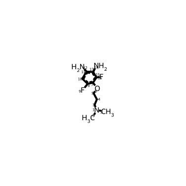 CN(C)CCCOc1c(F)cc(N)c(N)c1F